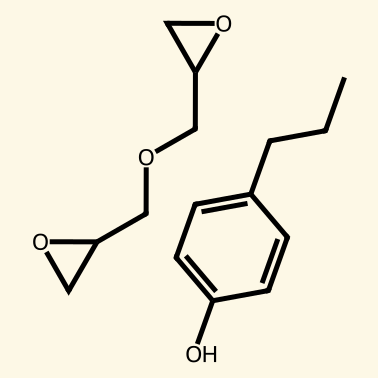 C(OCC1CO1)C1CO1.CCCc1ccc(O)cc1